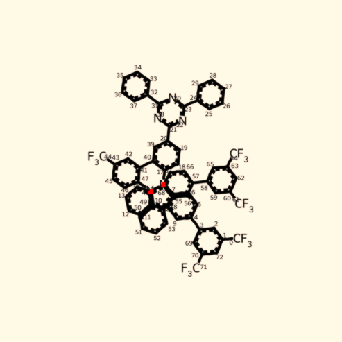 FC(F)(F)c1cc(-c2ccc3c(c2)c2ccccc2n3-c2ccc(-c3nc(-c4ccccc4)nc(-c4ccccc4)n3)cc2-c2cc(C(F)(F)F)ccc2-n2c3ccccc3c3cc(-c4cc(C(F)(F)F)cc(C(F)(F)F)c4)ccc32)cc(C(F)(F)F)c1